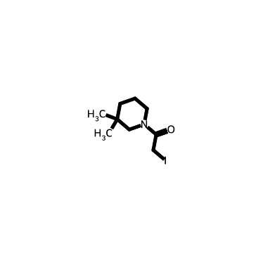 CC1(C)CCCN(C(=O)CI)C1